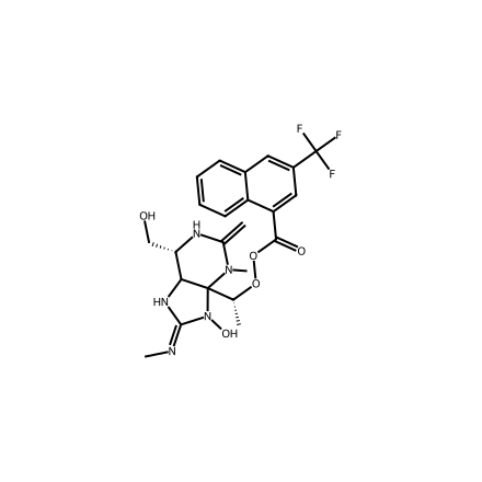 C=C1N[C@@H](CO)C2N/C(=N\C)N(O)C2([C@@H](C)OOC(=O)c2cc(C(F)(F)F)cc3ccccc23)N1C